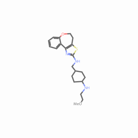 COCCNC1CCC(CNc2nc3c(s2)CCOc2ccccc2-3)CC1